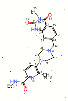 CCNC(=O)c1ccc(N2CCN(Cc3ccc4c(=O)n(CC)c(=O)[nH]c4c3)CC2)c(C)n1